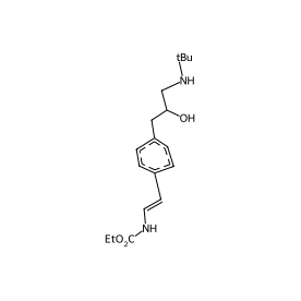 CCOC(=O)NC=Cc1ccc(CC(O)CNC(C)(C)C)cc1